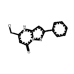 O=c1cc(CCl)[nH]c2cc(-c3ccccc3)nn12